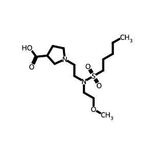 CCCCCS(=O)(=O)N(CCOC)CCN1CCC(C(=O)O)C1